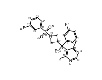 [CH2]CC(c1cccc(F)c1)(c1c(C)ncnc1C)C1CN(S(=O)(=O)c2cccc(F)c2)C1